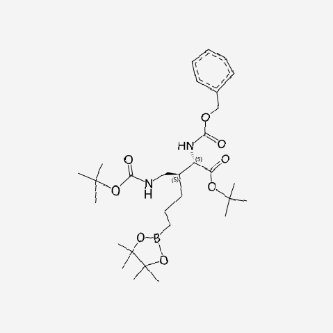 CC(C)(C)OC(=O)NC[C@H](CCCB1OC(C)(C)C(C)(C)O1)[C@H](NC(=O)OCc1ccccc1)C(=O)OC(C)(C)C